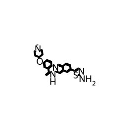 C=C(Nc1cc2cc(-c3cnc(N)s3)ccc2cn1)c1cccc(OC2CCN(C)CC2)c1